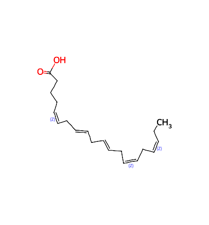 CC/C=C\C/C=C\CC=CCC=CC/C=C\CCCC(=O)O